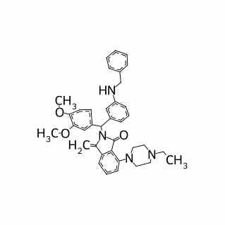 C=C1c2cccc(N3CCN(CC)CC3)c2C(=O)N1C(c1cccc(NCc2ccccc2)c1)c1ccc(OC)c(OC)c1